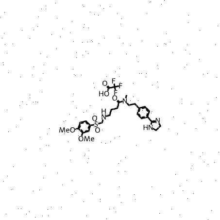 COc1ccc(S(=O)(=O)CNCCCC(=O)N(C)CCc2ccc(C3=NCCN3)cc2)cc1OC.O=C(O)C(F)(F)F